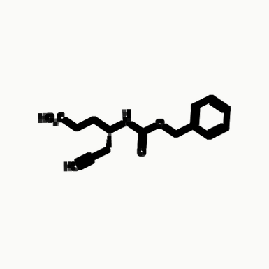 C#CC[C@H](CCC(=O)O)NC(=O)OCc1ccccc1